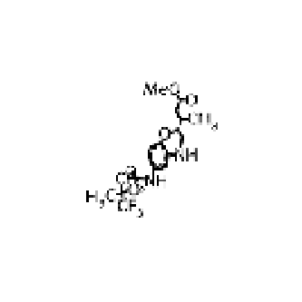 COC(=O)CC(C)[C@H]1CNc2cc(NC(=O)OC(C)(C)C(F)(F)F)ccc2O1